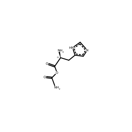 NC(=O)OC(=O)[C@@H](N)Cc1cnc[nH]1